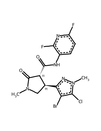 CN1C[C@H](c2nn(C)c(Cl)c2Br)[C@@H](C(=O)Nc2ccc(F)nc2F)C1=O